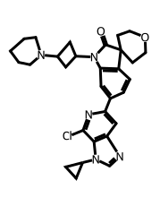 O=C1N(C2CC(N3CCCCC3)C2)c2cc(-c3cc4ncn(C5CC5)c4c(Cl)n3)ccc2C12CCOCC2